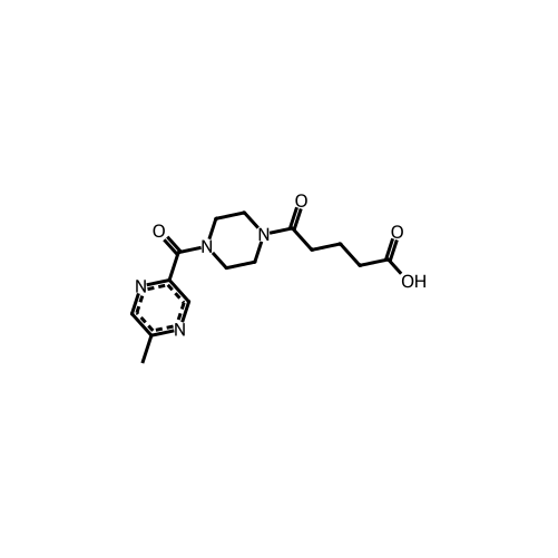 Cc1cnc(C(=O)N2CCN(C(=O)CCCC(=O)O)CC2)cn1